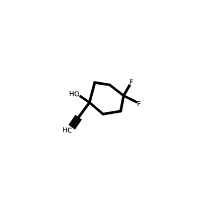 C#CC1(O)CCC(F)(F)CC1